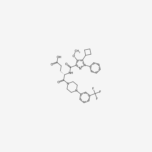 COc1c(C(=O)N[C@@H](CCC(=O)O)C(=O)N2CCN(c3cccc(C(F)(F)F)c3)CC2)nn(-c2ccccc2)c1C1CCC1